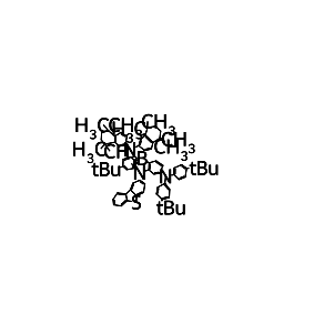 CC(C)(C)c1ccc(N(c2ccc(C(C)(C)C)cc2)c2ccc3c(c2)N(c2ccc4sc5ccccc5c4c2)c2cc(C(C)(C)C)cc4c2B3c2cc3c(cc2N4c2ccc4c(c2)C(C)(C)CCC4(C)C)C(C)(C)CCC3(C)C)cc1